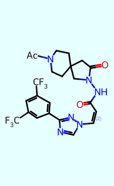 CC(=O)N1CCC2(CC1)CC(=O)N(NC(=O)/C=C\n1cnc(-c3cc(C(F)(F)F)cc(C(F)(F)F)c3)n1)C2